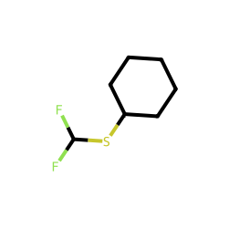 FC(F)S[C]1CCCCC1